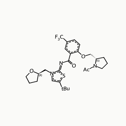 CC(=O)N1CCC[C@H]1COc1ccc(C(F)(F)F)cc1C(=O)N=c1sc(C(C)(C)C)cn1C[C@H]1CCCO1